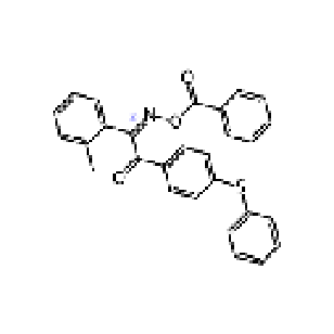 Cc1ccccc1/C(=N/OC(=O)c1ccccc1)C(=O)c1ccc(Sc2ccccc2)cc1